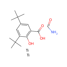 CC(C)(C)c1cc(C(=O)O)c(O)c(C(C)(C)C)c1.NC=O.[Ti].[Ti]